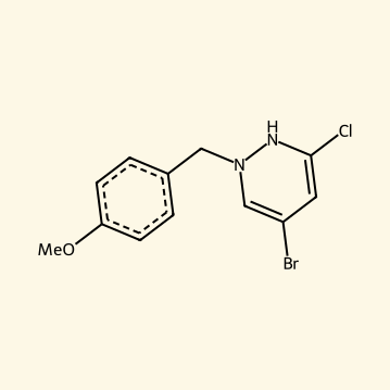 COc1ccc(CN2C=C(Br)C=C(Cl)N2)cc1